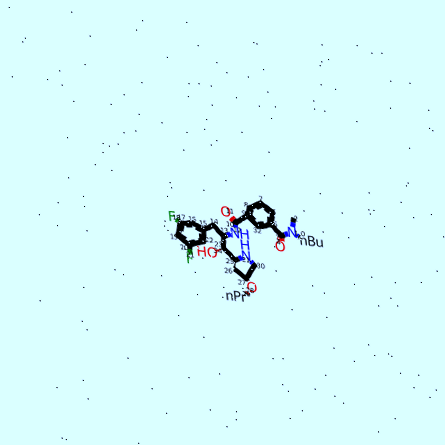 CCCCN(C)C(=O)c1cccc(C(=O)NC(Cc2cc(F)cc(F)c2)[C@@H](O)[C@H]2C[C@@H](OCCC)CN2)c1